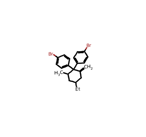 C=C1CC(CC)CC(C)C1(c1ccc(Br)cc1)c1ccc(Br)cc1